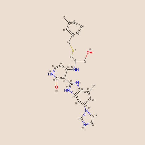 Cc1cccc(CSCC(CO)Nc2cc[nH]c(=O)c2-c2nc3c(C)cc(-n4ccnc4)cc3[nH]2)c1